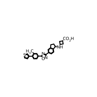 Cc1cc(-c2nc(-c3ccc4c(c3)CC[C@H]4N[C@H]3C[C@H](C(=O)O)C3)no2)ccc1-c1ccsc1